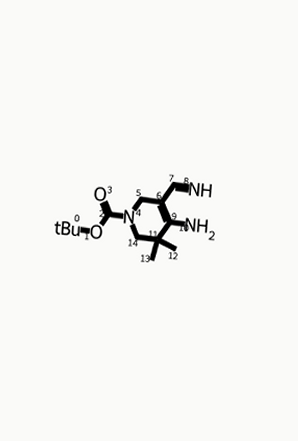 CC(C)(C)OC(=O)N1CC(C=N)=C(N)C(C)(C)C1